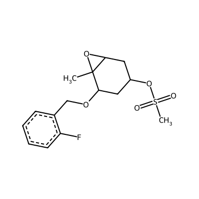 CC12OC1CC(OS(C)(=O)=O)CC2OCc1ccccc1F